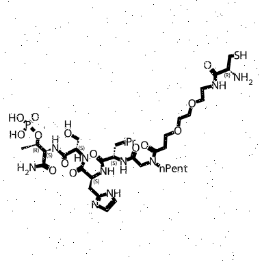 CCCCCN(CC(=O)N[C@@H](CC(C)C)C(=O)N[C@@H](Cc1ncc[nH]1)C(=O)N[C@@H](CO)C(=O)N[C@H](C(N)=O)[C@@H](C)OP(=O)(O)O)C(=O)CCOCCOCCNC(=O)[C@@H](N)CS